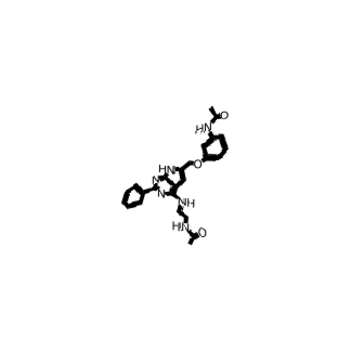 CC(=O)NCCNc1nc(-c2ccccc2)nc2[nH]c(COc3cccc(NC(C)=O)c3)cc12